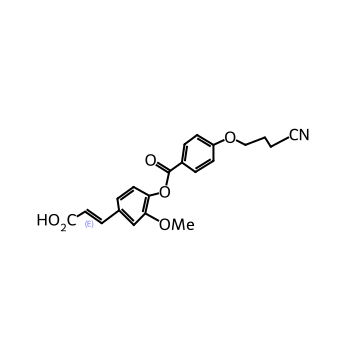 COc1cc(/C=C/C(=O)O)ccc1OC(=O)c1ccc(OCCCC#N)cc1